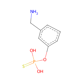 NCc1cccc(OP(O)(O)=S)c1